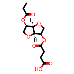 CCC(=O)O[C@@H]1CO[C@H]2[C@@H]1OC[C@H]2OC(=O)CCC(=O)O